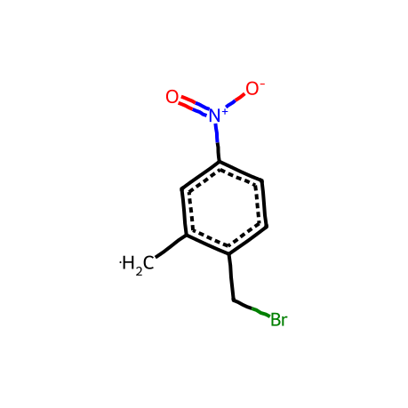 [CH2]c1cc([N+](=O)[O-])ccc1CBr